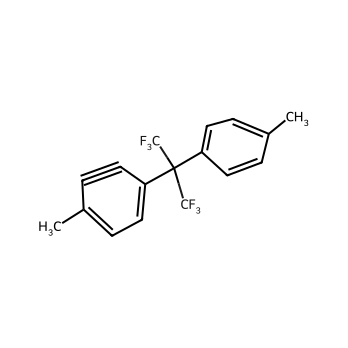 Cc1c#cc(C(c2ccc(C)cc2)(C(F)(F)F)C(F)(F)F)cc1